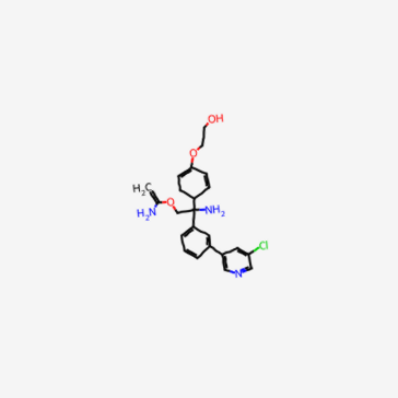 C=C(N)OCC(N)(c1cccc(-c2cncc(Cl)c2)c1)C1C=CC(OCCO)=CC1